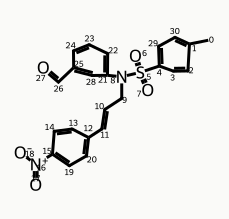 Cc1ccc(S(=O)(=O)N(C/C=C/c2ccc([N+](=O)[O-])cc2)c2cccc(C=O)c2)cc1